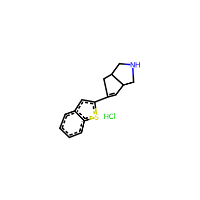 C1=C(c2cc3ccccc3s2)CC2CNCC12.Cl